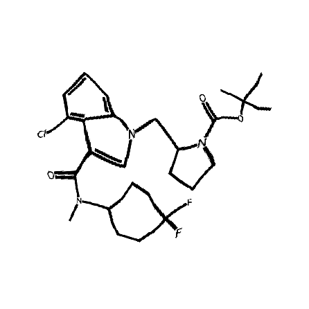 CN(C(=O)c1cn(CC2CCCN2C(=O)OC(C)(C)C)c2cccc(Cl)c12)C1CCC(F)(F)CC1